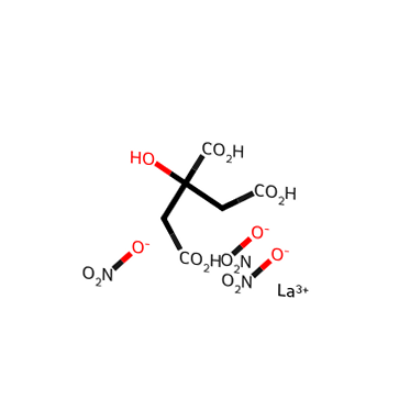 O=C(O)CC(O)(CC(=O)O)C(=O)O.O=[N+]([O-])[O-].O=[N+]([O-])[O-].O=[N+]([O-])[O-].[La+3]